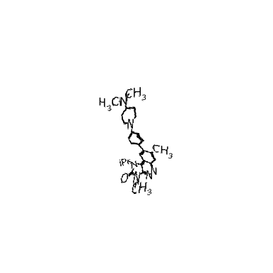 Cc1cc2nnc3c(c2cc1-c1ccc(N2CCC(N(C)C)CC2)cc1)n(C(C)C)c(=O)n3C